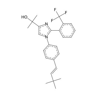 CC(C)(C)C=Cc1ccc(-n2cc(C(C)(C)O)nc2-c2ccccc2C(F)(F)F)cc1